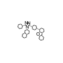 c1ccc(-c2nnc(-c3ccc(-c4cccc5c4oc4ccccc45)cc3)n2-c2ccc3ccccc3c2)cc1